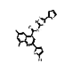 CCc1ccc(-c2cc(C(=O)Nc3nnc(-c4ccco4)o3)c3cc(C)cc(C)c3n2)s1